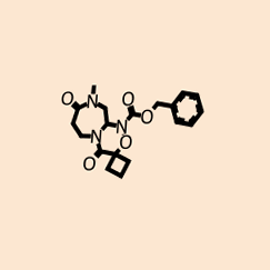 CN1CC2N(CCC1=O)C(=O)C1(CCC1)ON2C(=O)OCc1ccccc1